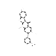 COc1cc2c(=O)c3c4ccc(C#N)cc4[nH]c3n(C)c2cc1-c1cccc(S(=O)(=O)F)c1